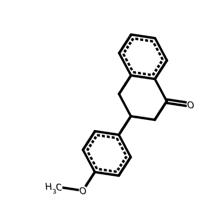 COc1ccc(C2CC(=O)c3ccccc3C2)cc1